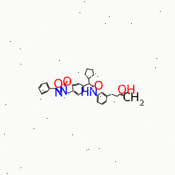 C=C(O)CCc1cccc(NC(=O)C(c2ccc(Cn3nc(-c4ccccc4)oc3=O)cc2)C2CCCC2)c1